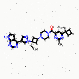 CNC1(c2cc(C(=O)N3CCN([C@H]4C[C@@](CC#N)(n5cc(-c6ncnc7[nH]ccc67)cn5)C4)CC3)nc(C(F)(F)F)n2)CCC1